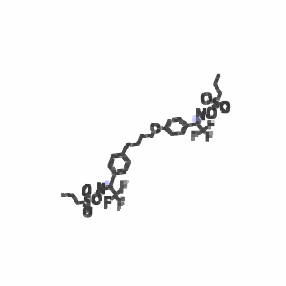 CCCS(=O)(=O)O/N=C(/c1ccc(CCCCOc2ccc(/C(=N/OS(=O)(=O)CCC)C(F)(F)F)cc2)cc1)C(F)(F)F